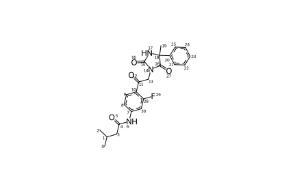 CC(C)CC(=O)Nc1ccc(C(=O)CN2C(=O)NC(C)(c3ccccc3)C2=O)c(F)c1